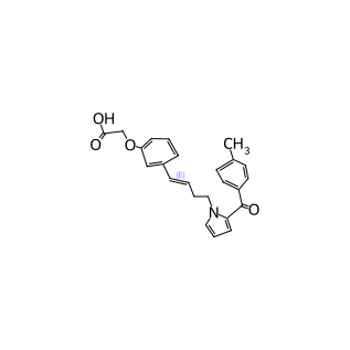 Cc1ccc(C(=O)c2cccn2CC/C=C/c2cccc(OCC(=O)O)c2)cc1